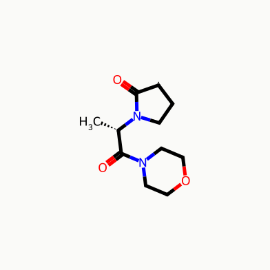 C[C@@H](C(=O)N1CCOCC1)N1CC[CH]C1=O